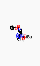 Cn1cc(C2(CNC(=O)OC(C)(C)C)C3CCN(C(=O)OCc4ccccc4)CC32)nn1